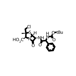 CC(C)(C)OC(=O)NC(C(=O)N[C@@H]1C(=O)N2[C@@H](C(=O)O)[C@](C)(CCl)S[C@@H]12)c1ccccc1